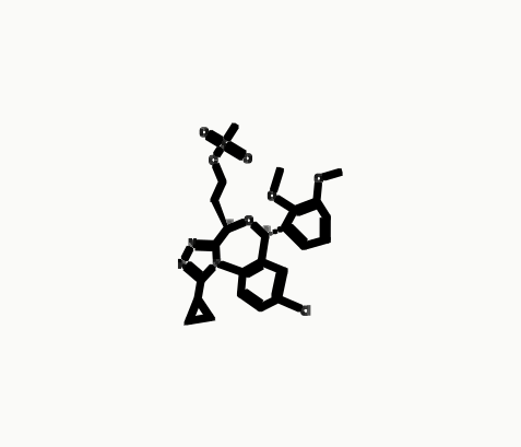 COc1cccc([C@H]2O[C@H](CCOS(C)(=O)=O)c3nnc(C4CC4)n3-c3ccc(Cl)cc32)c1OC